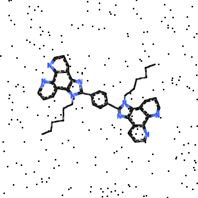 CCCCCCn1c(-c2ccc(-c3nc4c5cccnc5c5ncccc5c4n3CCCCCC)cc2)nc2c3cccnc3c3ncccc3c21